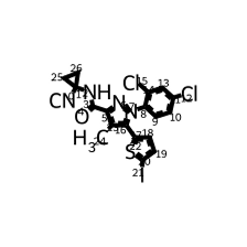 [C-]#[N+]C1(NC(=O)c2nn(-c3ccc(Cl)cc3Cl)c(-c3ccc(I)s3)c2C)CC1